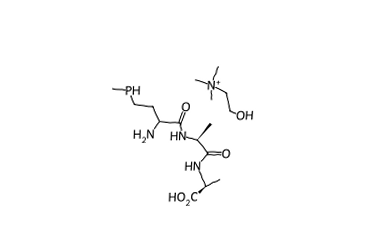 CPCCC(N)C(=O)N[C@@H](C)C(=O)N[C@@H](C)C(=O)O.C[N+](C)(C)CCO